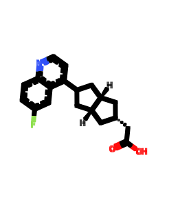 O=C(O)C[C@H]1C[C@H]2CC(c3ccnc4ccc(F)cc34)C[C@H]2C1